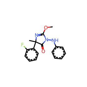 COC1=NC(C)(c2ccccc2F)C(=O)N1Nc1ccccc1